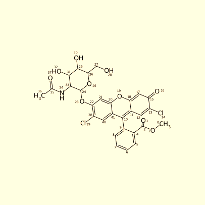 COC(=O)c1ccccc1-c1c2cc(Cl)c(=O)cc-2oc2cc(OC3OC(CO)C(O)C(O)C3NC(C)=O)c(Cl)cc12